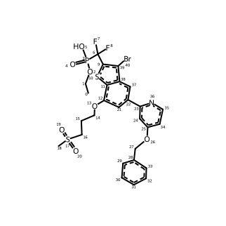 CCOP(=O)(O)C(F)(F)c1sc2c(OCCCS(C)(=O)=O)cc(-c3cc(OCc4ccccc4)ccn3)cc2c1Br